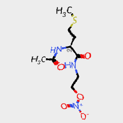 CSCC[C@H](NC(C)=O)C(=O)NCCO[N+](=O)[O-]